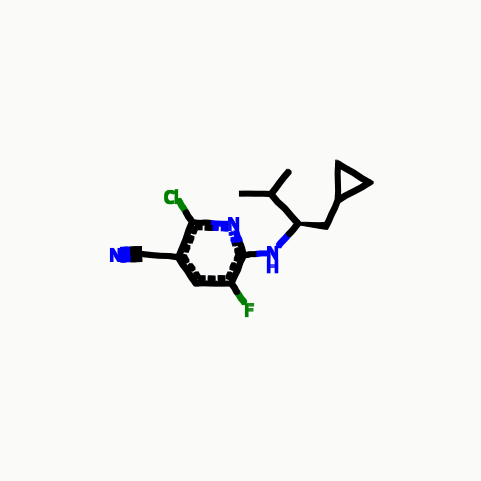 CC(C)[C@@H](CC1CC1)Nc1nc(Cl)c(C#N)cc1F